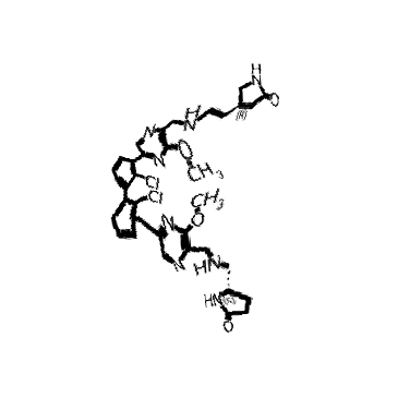 COc1nc(-c2cccc(-c3cccc(-c4cnc(CNC[C@@H]5CCC(=O)N5)c(OC)n4)c3Cl)c2Cl)cnc1CNCC[C@H]1CNC(=O)C1